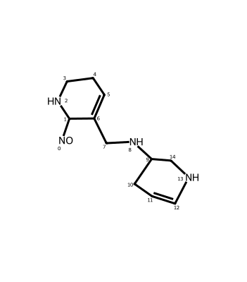 O=NC1NCCC=C1CNC1CC=CNC1